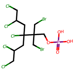 O=P(O)(O)OCC(CBr)(CBr)C(Cl)(CC(Cl)CCl)CC(Cl)CCl